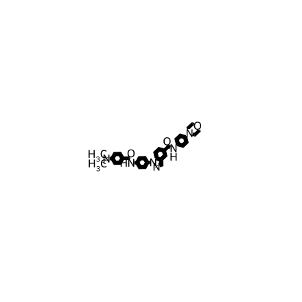 CN(C)c1ccc(C(=O)Nc2ccc(-n3ncc4cc(C(=O)Nc5ccc(N6CCOCC6)cc5)ccc43)cc2)cc1